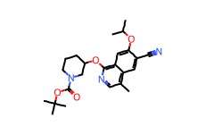 Cc1cnc(OC2CCCN(C(=O)OC(C)(C)C)C2)c2cc(OC(C)C)c(C#N)cc12